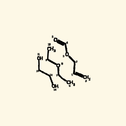 C=CCOC=O.CCOCC.OCCO